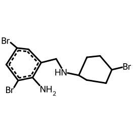 Nc1c(Br)cc(Br)cc1CNC1CCC(Br)CC1